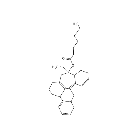 CCCCCCC(=O)OC1(CC)CC2=C3C(=C4C=CCCC41)CN1CC=CC=C1C3CCC2